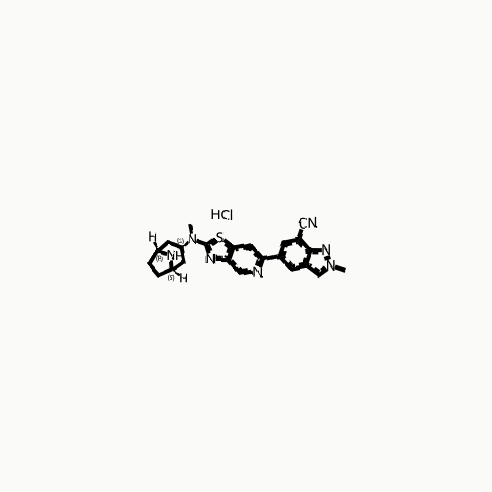 CN(c1nc2cnc(-c3cc(C#N)c4nn(C)cc4c3)cc2s1)[C@@H]1C[C@H]2CC[C@@H](C1)N2.Cl